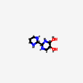 Oc1cnc(-c2ncccn2)nc1O